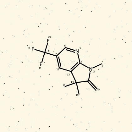 C=C1N(C)c2ncc(C(F)(F)F)cc2C1(C)C